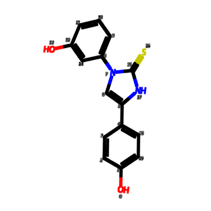 Oc1ccc(-c2cn(-c3cccc(O)c3)c(=S)[nH]2)cc1